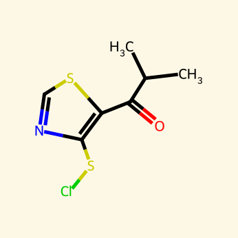 CC(C)C(=O)c1scnc1SCl